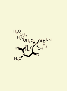 CN(CC(=O)OP(=O)(O)O)C(=N)N.O.O.O.O.O.[NaH]